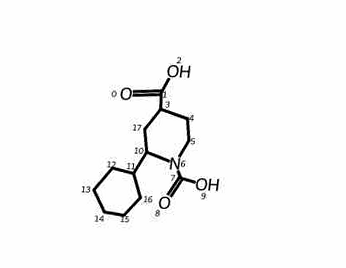 O=C(O)C1CCN(C(=O)O)C(C2CCCCC2)C1